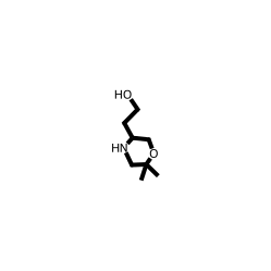 CC1(C)CNC(CCO)CO1